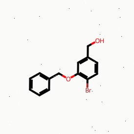 OCc1ccc(Br)c(OCc2ccccc2)c1